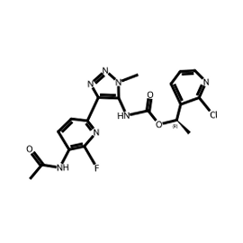 CC(=O)Nc1ccc(-c2nnn(C)c2NC(=O)O[C@H](C)c2cccnc2Cl)nc1F